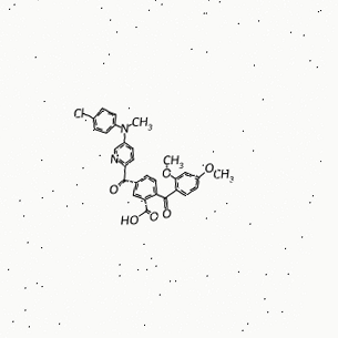 COc1ccc(C(=O)c2ccc(C(=O)c3ccc(N(C)c4ccc(Cl)cc4)cn3)cc2C(=O)O)c(OC)c1